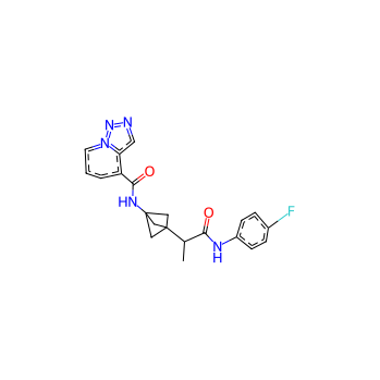 CC(C(=O)Nc1ccc(F)cc1)C12CC(NC(=O)c3cccn4nncc34)(C1)C2